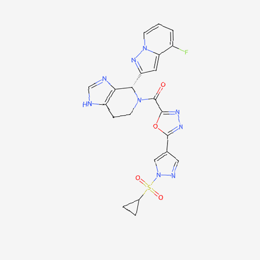 O=C(c1nnc(-c2cnn(S(=O)(=O)C3CC3)c2)o1)N1CCc2[nH]cnc2[C@@H]1c1cc2c(F)cccn2n1